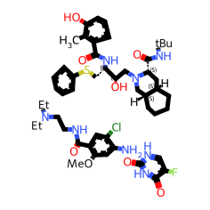 CCN(CC)CCNC(=O)c1cc(Cl)c(N)cc1OC.Cc1c(O)cccc1C(=O)N[C@@H](CSc1ccccc1)[C@H](O)CN1C[C@H]2CCCC[C@H]2C[C@H]1C(=O)NC(C)(C)C.O=c1[nH]cc(F)c(=O)[nH]1